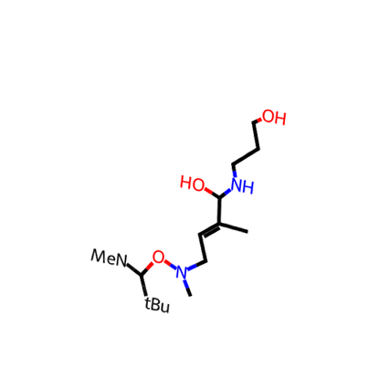 CNC(ON(C)C/C=C(\C)C(O)NCCCO)C(C)(C)C